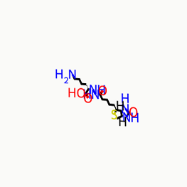 NCCCC[C@H](NNC(=O)CCCC[C@@H]1SC[C@@H]2NC(=O)N[C@@H]21)C(=O)O